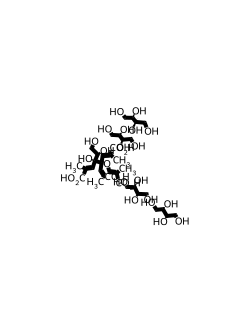 CC(=COC(C=C(C)C(=O)O)(C=C(C)C(=O)O)[C@@](O)(C=C(C)C(=O)O)[C@H](O)CO)C(=O)O.OC[C@@H](O)[C@@H](O)CO.OC[C@@H](O)[C@@H](O)CO.OC[C@@H](O)[C@@H](O)CO.OC[C@@H](O)[C@@H](O)CO